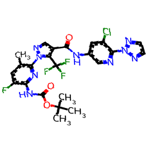 Cc1cc(F)c(NC(=O)OC(C)(C)C)nc1-n1ncc(C(=O)Nc2cnc(-n3nccn3)c(Cl)c2)c1C(F)(F)F